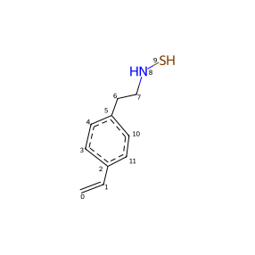 C=Cc1ccc(CCNS)cc1